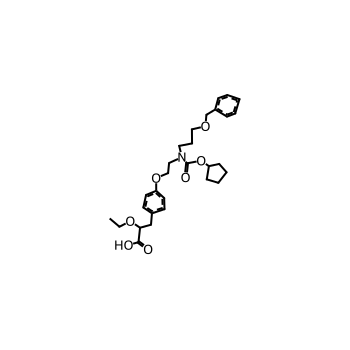 CCOC(Cc1ccc(OCCN(CCCOCc2ccccc2)C(=O)OC2CCCC2)cc1)C(=O)O